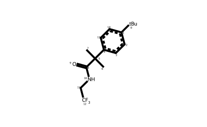 CC(C)(C)c1ccc(C(C)(C)C(=O)NCC(F)(F)F)cc1